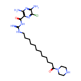 N=C(NCCCCCCCCCCCC(=O)N1CCNCC1)NC(=O)c1nc(Cl)c(N)nc1N